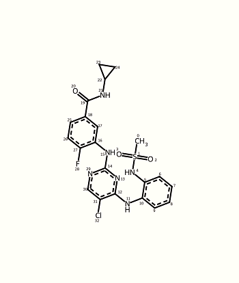 CS(=O)(=O)Nc1ccccc1Nc1nc(Nc2cc(C(=O)NC3CC3)ccc2F)ncc1Cl